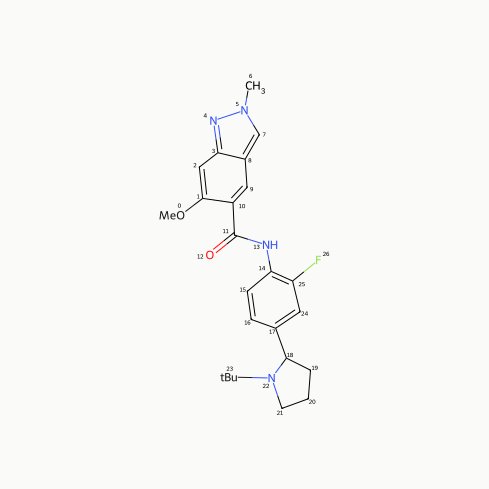 COc1cc2nn(C)cc2cc1C(=O)Nc1ccc(C2CCCN2C(C)(C)C)cc1F